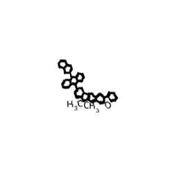 CC1(C)C2=CC=C(c3c4ccccc4c(C4=CC=C5C=CCCC5C4)c4ccccc34)CC2c2cc3cc4c(cc3cc21)oc1ccccc14